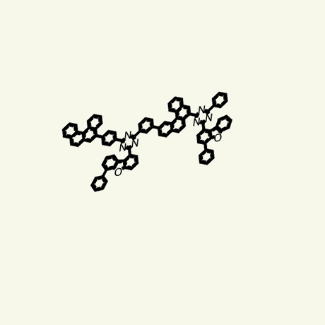 c1ccc(-c2nc(-c3cc4ccccc4c4c3ccc3ccc(-c5cccc(-c6nc(-c7ccc(-c8cc9ccc%10ccccc%10c9c9ccccc89)cc7)nc(-c7cccc8oc9c(-c%10ccccc%10)cccc9c78)n6)c5)cc34)nc(-c3ccc(-c4ccccc4)c4oc5ccccc5c34)n2)cc1